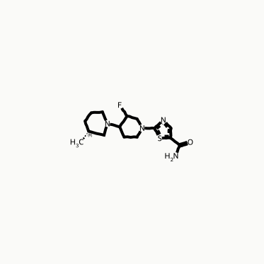 C[C@@H]1CCCN(C2CCN(c3ncc(C(N)=O)s3)CC2F)C1